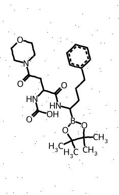 CC1(C)OB(C(CCCc2ccccc2)NC(=O)C(CC(=O)N2CCOCC2)NC(=O)O)OC1(C)C